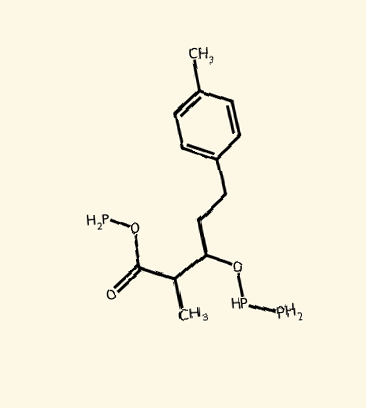 Cc1ccc(CCC(OPP)C(C)C(=O)OP)cc1